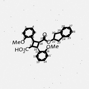 COc1ccccc1C1C(C(=O)O)[C@H](c2ccccc2OC)C1C(=O)OC1Cc2ccccc2C1